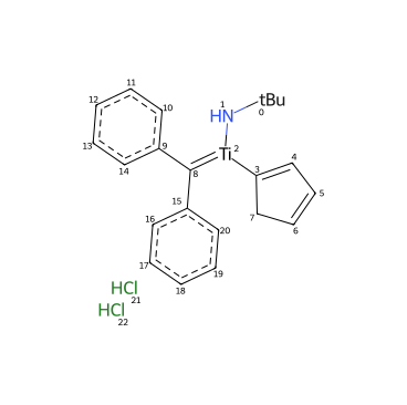 CC(C)(C)[NH][Ti]([C]1=CC=CC1)=[C](c1ccccc1)c1ccccc1.Cl.Cl